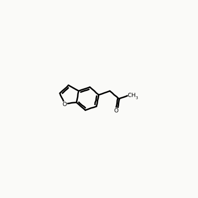 CC(=O)Cc1ccc2occc2c1